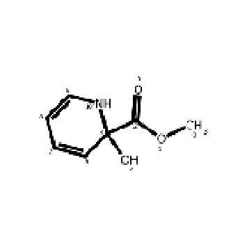 COC(=O)C1(O)C=CC=CN1